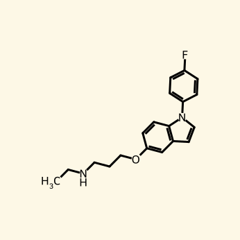 CCNCCCOc1ccc2c(ccn2-c2ccc(F)cc2)c1